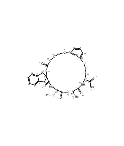 CC[C@H](C)[C@@H]1NC(=O)[C@H](CC(C)C)NC(=O)C2(Cc3ccccc3C2)NC(=O)CCSCc2cccc(n2)CSC[C@@H](C(N)=O)NC1=O